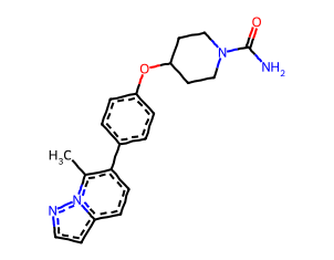 Cc1c(-c2ccc(OC3CCN(C(N)=O)CC3)cc2)ccc2ccnn12